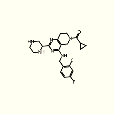 O=C(C1CC1)N1CCc2nc(C3CNCCN3)nc(NCc3ccc(F)cc3Cl)c2C1